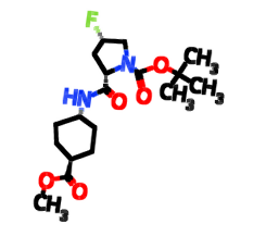 COC(=O)[C@H]1CC[C@H](NC(=O)[C@@H]2C[C@H](F)CN2C(=O)OC(C)(C)C)CC1